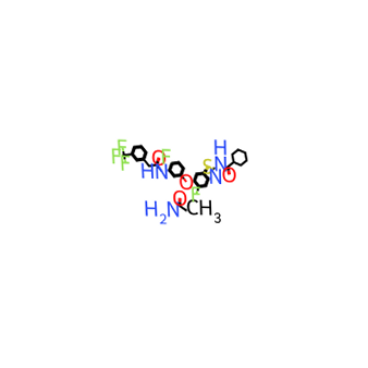 CCC(N)=O.O=C(Cc1cccc(C(F)(F)F)c1)Nc1cc(Oc2cc3sc(NC(=O)C4CCCCC4)nc3cc2F)ccc1F